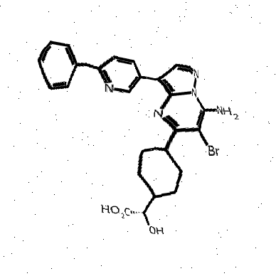 Nc1c(Br)c(C2CCC([C@H](O)C(=O)O)CC2)nc2c(-c3ccc(-c4ccccc4)nc3)cnn12